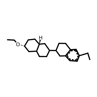 CCO[C@@H]1CC[C@@H]2CC(C3CCc4cc(CC)ccc4C3)CCC2C1